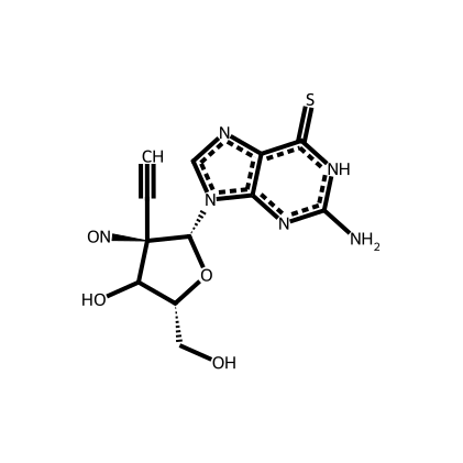 C#C[C@@]1(N=O)C(O)[C@@H](CO)O[C@H]1n1cnc2c(=S)[nH]c(N)nc21